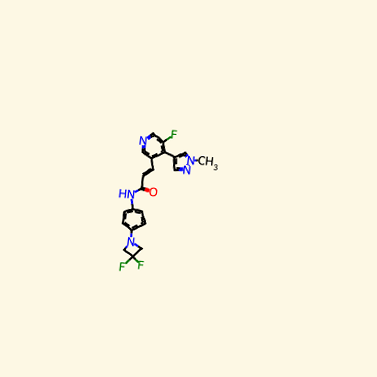 Cn1cc(-c2c(F)cncc2/C=C/C(=O)Nc2ccc(N3CC(F)(F)C3)cc2)cn1